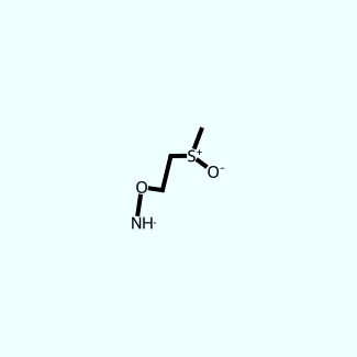 C[S+]([O-])CCO[NH]